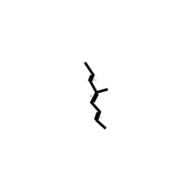 [CH2]/C=C/C(C)=C/C=C/C